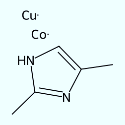 Cc1c[nH]c(C)n1.[Co].[Cu]